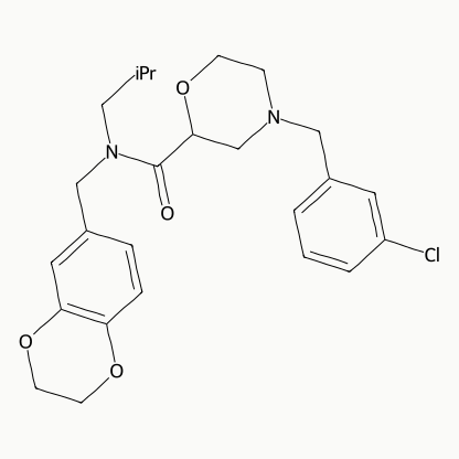 CC(C)CN(Cc1ccc2c(c1)OCCO2)C(=O)C1CN(Cc2cccc(Cl)c2)CCO1